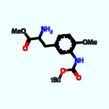 COC(=O)C(N)Cc1ccc(OC)c(NC(=O)OC(C)(C)C)c1